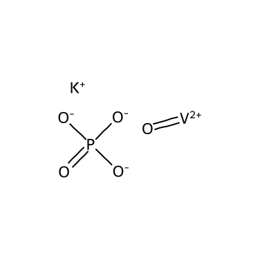 O=P([O-])([O-])[O-].[K+].[O]=[V+2]